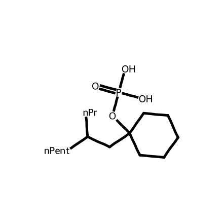 CCCCCC(CCC)CC1(OP(=O)(O)O)CCCCC1